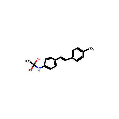 CC(O)(O)Nc1ccc(/C=C/c2ccc([N+](=O)[O-])cc2)cc1